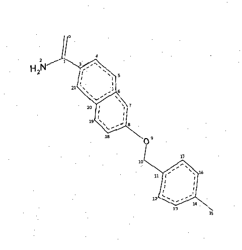 C=C(N)c1ccc2cc(OCc3ccc(C)cc3)ccc2c1